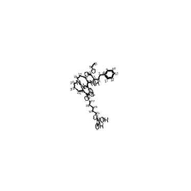 CCOC(=O)C(CCc1ccccc1)NC1CCCN2CCCC(C(=O)OCCCCCON(O)O)N2C1=O